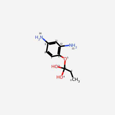 CCC(O)(O)Oc1ccc(N)cc1N